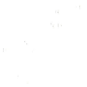 CCn1c(CN2CCC(C(F)(F)F)CC2)cc2cc(C(=O)NC(CO)c3ccc(S(=O)(=O)CC)cc3)ccc21